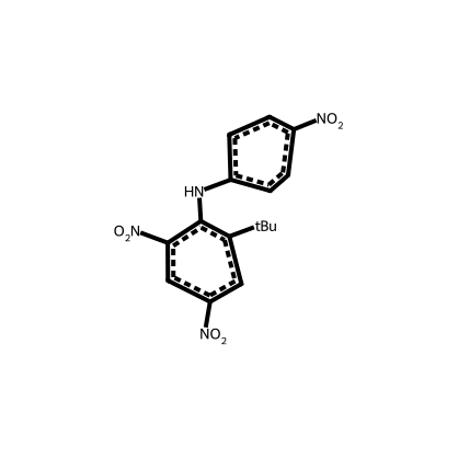 CC(C)(C)c1cc([N+](=O)[O-])cc([N+](=O)[O-])c1Nc1ccc([N+](=O)[O-])cc1